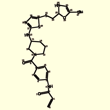 C=CC(=O)Nc1ccc(C(=O)N2CCCC(Nc3ncc(SCC4NC=C(C(C)(C)C)O4)s3)C2)cc1